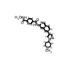 CNC(=O)c1ccc(C(=O)Nc2cc3cc(-c4cnn(C5CCN(C)CC5)c4)ccc3cn2)cn1